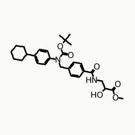 COC(=O)C(O)CNC(=O)c1ccc(CN(C(=O)OC(C)(C)C)c2ccc(C3CCCCC3)cc2)cc1